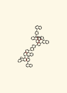 c1cc(-c2cc(-c3ccc4cc(-c5ccccc5-c5ccccc5N(c5ccc(-c6cccc7ccccc67)cc5)c5ccccc5-c5cccc6c5oc5ccccc56)ccc4c3)ccc2-c2ccc3ccccc3c2)cc(N(c2ccc(-c3cccc4ccccc34)cc2)c2ccccc2-c2cccc3c2oc2ccccc23)c1